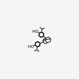 CC(C)c1cc(C23CC4CC(C2)CC(c2ccc(O)c(C(C)C)c2)(C4)C3)ccc1O